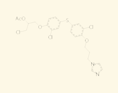 CC(=O)OC(CCl)COc1ccc(Sc2ccc(OCCCn3ccnc3)c(Cl)c2)cc1Cl